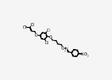 O=[N+]([O-])c1ccc(/C=N/OCCCCOc2c(Cl)cc(OCC=C(Cl)Cl)cc2Cl)cc1